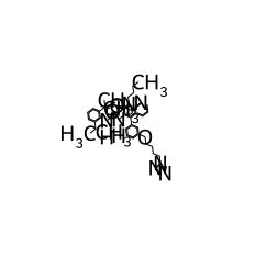 CCCCn1c(=O)c(NC(=O)Nc2c(C(C)C)cccc2C(C)C)c(-c2cccc(OCCCCn3cncn3)c2)c2cccnc21